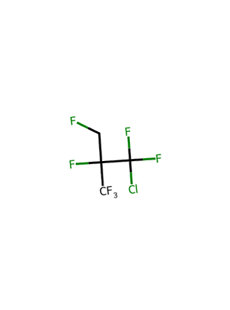 FCC(F)(C(F)(F)F)C(F)(F)Cl